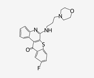 O=c1c2cc(F)ccc2sc2c(NCCCN3CCOCC3)nc3ccccc3c12